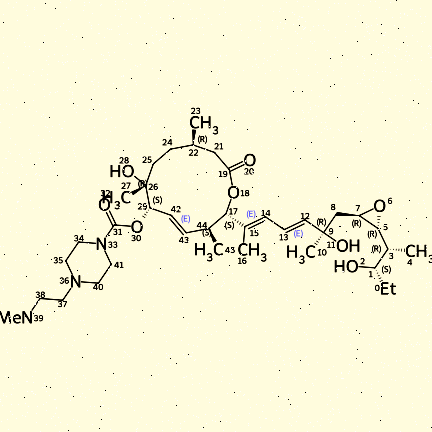 CC[C@H](O)[C@@H](C)[C@H]1O[C@@H]1C[C@@](C)(O)/C=C/C=C(\C)[C@H]1OC(=O)C[C@H](C)CC[C@@](C)(O)[C@@H](OC(=O)N2CCN(CCNC)CC2)/C=C/[C@@H]1C